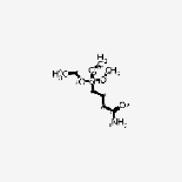 CCO[Si](CCCC(N)=O)(OC)OC